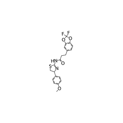 COc1ccc(C2CSC(NC(=O)CCc3ccc4c(c3)OC(F)(F)O4)=N2)cc1